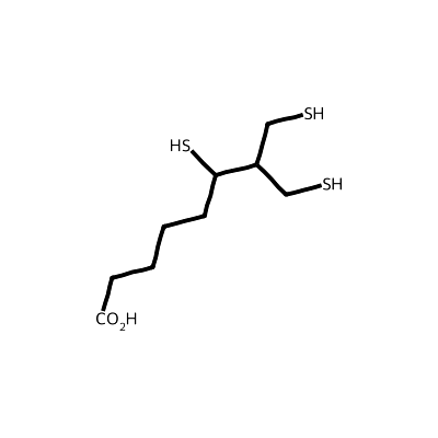 O=C(O)CCCCC(S)C(CS)CS